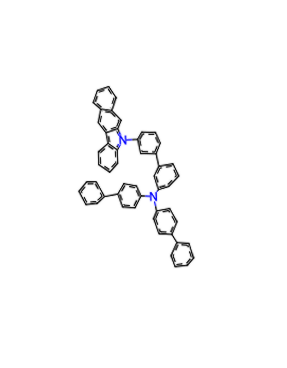 c1ccc(-c2ccc(N(c3ccc(-c4ccccc4)cc3)c3cccc(-c4cccc(-n5c6ccccc6c6cc7ccccc7cc65)c4)c3)cc2)cc1